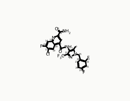 Cc1c(NC(=O)c2cc(C(N)=O)nc3cc(F)c(Cl)cc23)c(C(F)(F)F)nn1Cc1ccc(F)cc1F